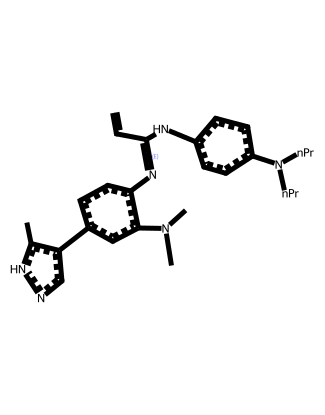 C=C/C(=N\c1ccc(-c2cn[nH]c2C)cc1N(C)C)Nc1ccc(N(CCC)CCC)cc1